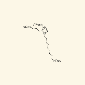 CCCCCCCCCCCCCCCCCCCn1cc[n+](CCCCC)c1CCCCCCCCCCCCC